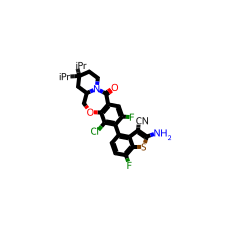 CC(C)C1(C(C)C)CCN2C(=O)c3cc(F)c(-c4ccc(F)c5sc(N)c(C#N)c45)c(Cl)c3OCC2C1